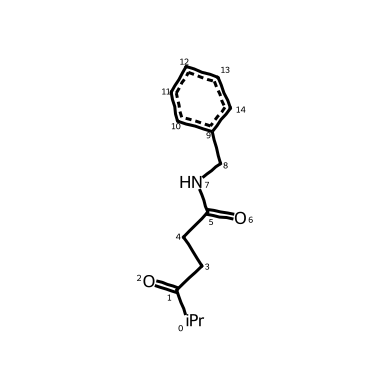 CC(C)C(=O)CCC(=O)NCc1ccccc1